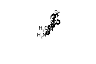 Cc1cn2nc(C3CCCCN3C(=O)c3cc(C(F)(F)F)ccn3)cc2nc1N1CC[C@H](N)C1